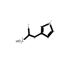 O=C(O)C(I)Cc1ccsc1